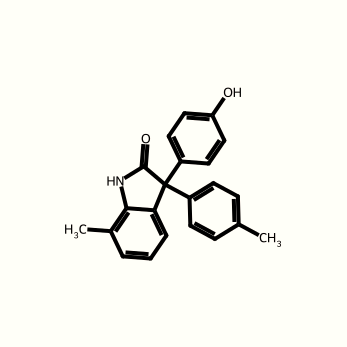 Cc1ccc(C2(c3ccc(O)cc3)C(=O)Nc3c(C)cccc32)cc1